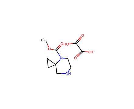 CC(C)(C)OC(=O)N1CCNCC12CC2.O=C(O)C(=O)O